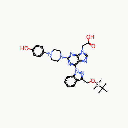 CC(C)(C)[Si](C)(C)OCc1nn(-c2nc(N3CCN(c4ccc(O)cc4)CC3)nc3c2ncn3CC(=O)O)c2ccccc12